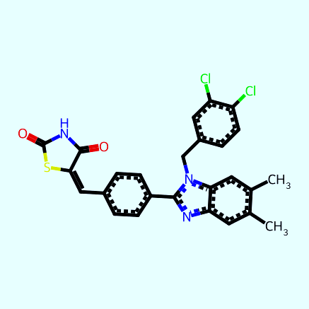 Cc1cc2nc(-c3ccc(C=C4SC(=O)NC4=O)cc3)n(Cc3ccc(Cl)c(Cl)c3)c2cc1C